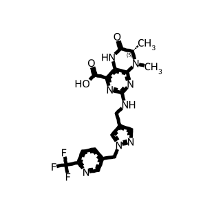 C[C@H]1C(=O)Nc2c(C(=O)O)nc(NCc3cnn(Cc4ccc(C(F)(F)F)nc4)c3)nc2N1C